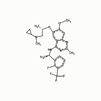 COc1cc2nc(C)nc(N[C@H](C)c3cccc(C(F)(F)F)c3F)c2cc1O[C@@H](C)CN(C)C1CC1